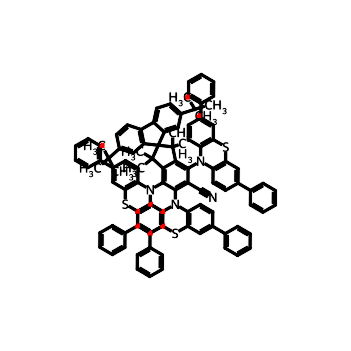 CC(C)(C)c1ccc2c(c1)C1(c3cc(C(C)(C)C)ccc3-2)C(C)(C)c2c(N3c4ccc(-c5ccccc5)cc4Sc4cc(-c5ccccc5)ccc43)c(C#N)c(N3c4ccc(-c5ccccc5)cc4Sc4cc(-c5ccccc5)ccc43)c(N3c4ccc(-c5ccccc5)cc4Sc4cc(-c5ccccc5)ccc43)c2C1(C)C